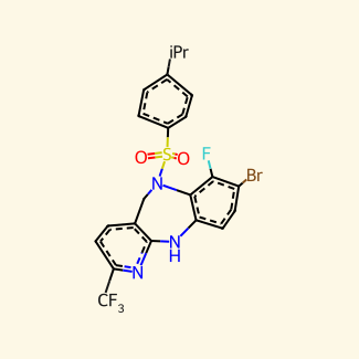 CC(C)c1ccc(S(=O)(=O)N2Cc3ccc(C(F)(F)F)nc3Nc3ccc(Br)c(F)c32)cc1